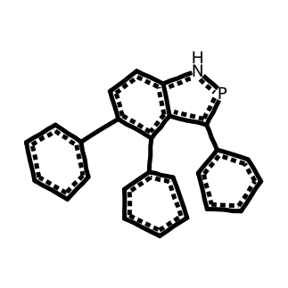 c1ccc(-c2ccc3[nH]pc(-c4ccccc4)c3c2-c2ccccc2)cc1